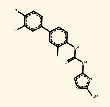 CCCCc1nc(NC(=O)Nc2ccc(-c3ccc(F)c(F)c3)cc2F)cs1